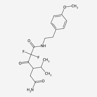 COc1ccc(CCNC(=O)C(F)(F)C(=O)C(CC(N)=O)C(C)C)cc1